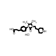 C[C@@H]1[C@H](C)N(c2ccc(CCC(=O)O)cc2)C(=O)N1CCC1CCNCC1.Cl